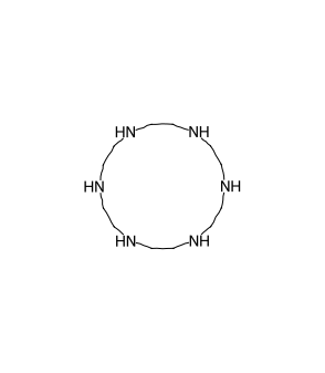 C1CNCCNCCNCCNCCNCCN1